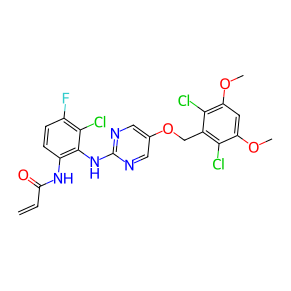 C=CC(=O)Nc1ccc(F)c(Cl)c1Nc1ncc(OCc2c(Cl)c(OC)cc(OC)c2Cl)cn1